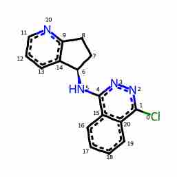 Clc1nnc(N[C@@H]2CCc3ncccc32)c2ccccc12